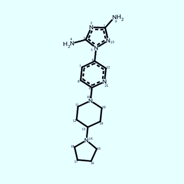 Nc1nc(N)n(-c2ccc(N3CCC(N4CCCC4)CC3)nc2)n1